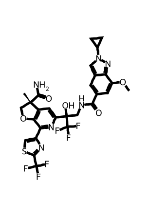 COc1cc(C(=O)NCC(O)(c2cc3c(c(-c4csc(C(F)(F)F)n4)n2)OC[C@]3(C)C(N)=O)C(F)(F)F)cc2cn(C3CC3)nc12